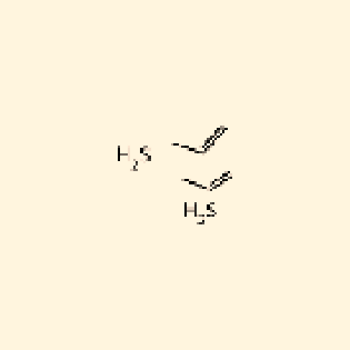 C=CC.C=CC.S.S